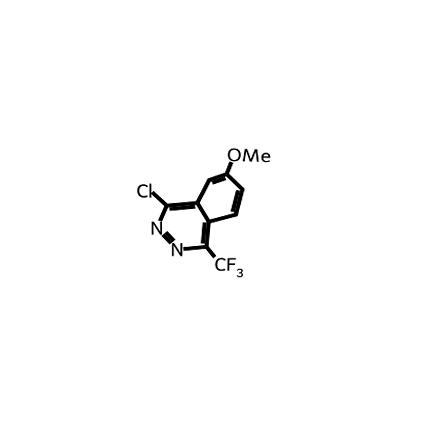 COc1ccc2c(C(F)(F)F)nnc(Cl)c2c1